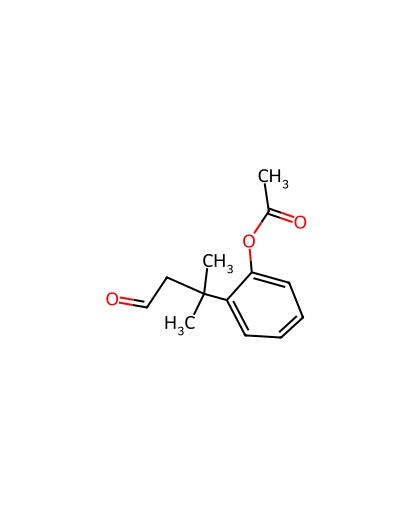 CC(=O)Oc1ccccc1C(C)(C)CC=O